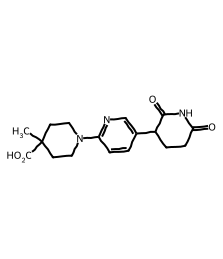 CC1(C(=O)O)CCN(c2ccc(C3CCC(=O)NC3=O)cn2)CC1